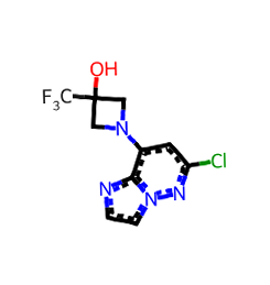 OC1(C(F)(F)F)CN(c2cc(Cl)nn3ccnc23)C1